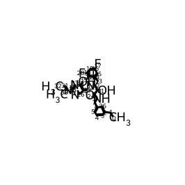 CCc1cccc(CNC[C@@H](O)[C@H](Cc2cc(F)cc(F)c2)NC(=O)c2cnc(N(C)CC)nc2O)c1